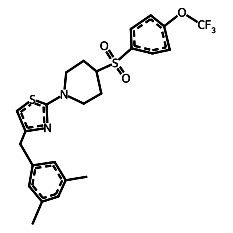 Cc1cc(C)cc(Cc2csc(N3CCC(S(=O)(=O)c4ccc(OC(F)(F)F)cc4)CC3)n2)c1